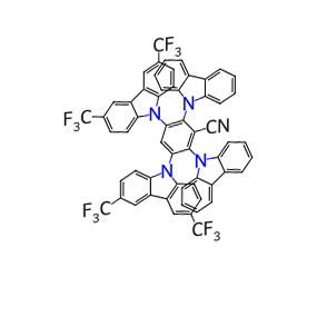 N#Cc1c(-n2c3ccccc3c3ccccc32)c(-n2c3ccc(C(F)(F)F)cc3c3cc(C(F)(F)F)ccc32)cc(-n2c3ccc(C(F)(F)F)cc3c3cc(C(F)(F)F)ccc32)c1-n1c2ccccc2c2ccccc21